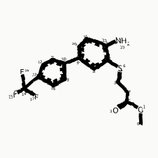 COC(=O)CCSc1cc(-c2ccc(C(F)(F)F)cc2)ccc1N